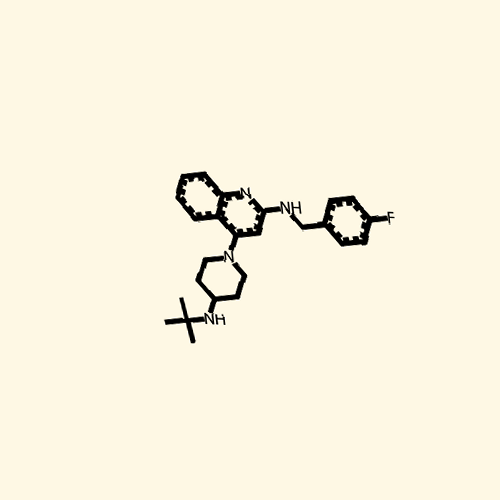 CC(C)(C)NC1CCN(c2cc(NCc3ccc(F)cc3)nc3ccccc23)CC1